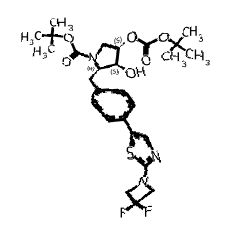 CC(C)(C)OC(=O)O[C@H]1CN(C(=O)OC(C)(C)C)[C@H](Cc2ccc(-c3cnc(N4CC(F)(F)C4)s3)cc2)[C@@H]1O